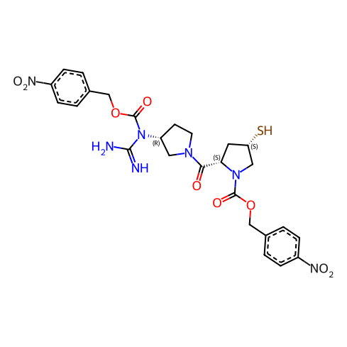 N=C(N)N(C(=O)OCc1ccc([N+](=O)[O-])cc1)[C@@H]1CCN(C(=O)[C@@H]2C[C@H](S)CN2C(=O)OCc2ccc([N+](=O)[O-])cc2)C1